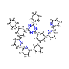 c1ccc(-c2cc(-c3cccc(-c4ccccn4)n3)cc(-c3nc(-c4ccccc4)nc(-c4cc(-c5ccccc5)cc(-c5cccc(-c6ccccn6)n5)c4)n3)c2)cc1